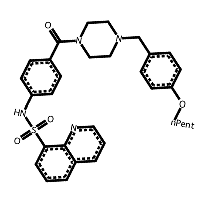 CCCCCOc1ccc(CN2CCN(C(=O)c3ccc(NS(=O)(=O)c4cccc5cccnc45)cc3)CC2)cc1